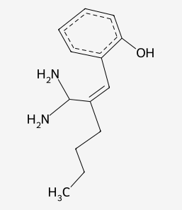 CCCCC(=Cc1ccccc1O)C(N)N